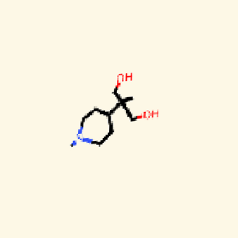 CN1CCC(C(C)(CO)CO)CC1